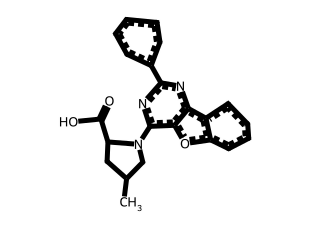 CC1CC(C(=O)O)N(c2nc(-c3ccccc3)nc3c2oc2ccccc23)C1